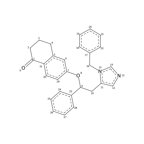 O=C1CCCc2cc(OC(Cc3cncn3Cc3ccccc3)c3ccccc3)ccc21